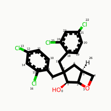 O[C@@H]1C2OC[C@@H]2CC1(Cc1ccc(Cl)cc1Cl)Cc1ccc(Cl)cc1Cl